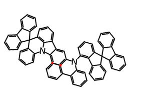 c1ccc(-c2ccccc2N(c2ccc3c(c2)c2cccc4c2n3-c2ccccc2C42c3ccccc3-c3ccccc32)c2cccc3c2-c2ccccc2C32c3ccccc3-c3ccccc32)cc1